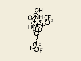 O=C(C1C[C@@H](O)CN1)N1C[C@H]2CC(c3ccc(CCCOc4c(F)ccc(F)c4F)cc3)=C(C(=O)N(Cc3cccc(C(F)(F)F)c3)C3CC3)[C@@H](C1)N2